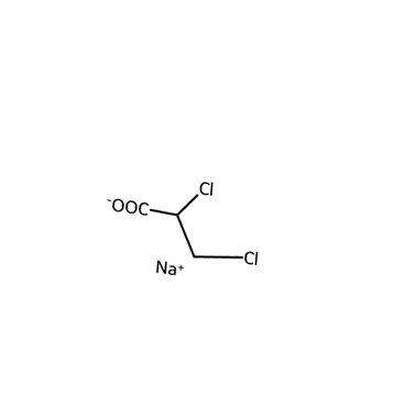 O=C([O-])C(Cl)CCl.[Na+]